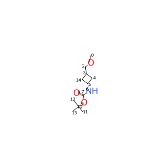 COC[C@H]1C[C@H](NC(=O)OC(C)(C)C)C1